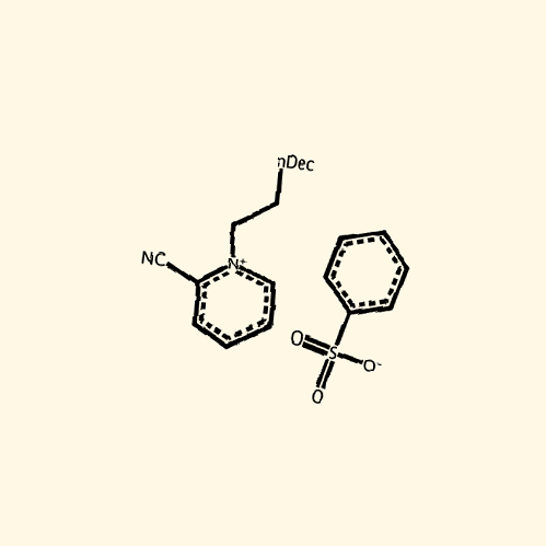 CCCCCCCCCCCC[n+]1ccccc1C#N.O=S(=O)([O-])c1ccccc1